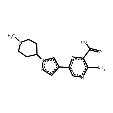 CN1CCC(n2cc(-c3cnc(N)c(C(=O)O)n3)cn2)CC1